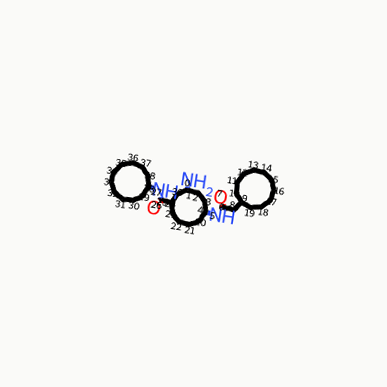 NC1CCC(NC(=O)CC2CCCCCCCCCC2)CCCCC(C(=O)NC2CCCCCCCCCC2)C1